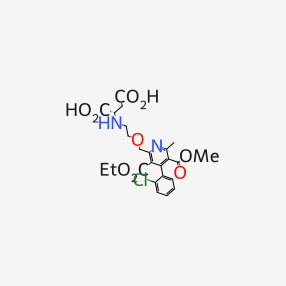 CCOC(=O)c1c(COCCN[C@@H](CC(=O)O)C(=O)O)nc(C)c(C(=O)OC)c1-c1ccccc1Cl